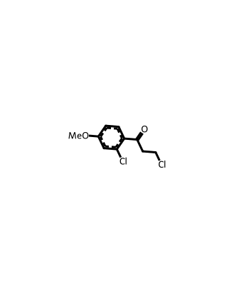 COc1ccc(C(=O)CCCl)c(Cl)c1